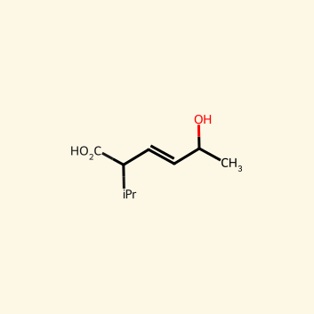 CC(O)C=CC(C(=O)O)C(C)C